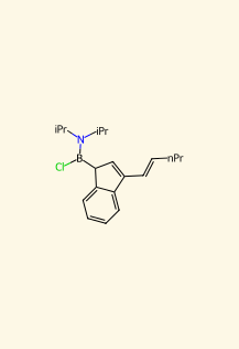 CCCC=CC1=CC(B(Cl)N(C(C)C)C(C)C)c2ccccc21